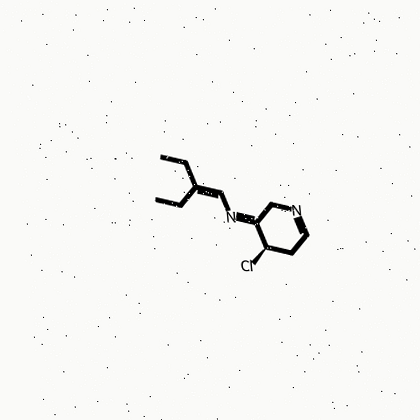 CCC(=C/N=C1\CN=CC[C@H]1Cl)CC